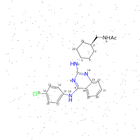 CC(=O)NC[C@H]1CC[C@H](Nc2nc(Nc3ccc(Cl)cc3)c3ccccc3n2)CC1